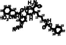 [N-]=[N+]=N[C@H]1C[C@@H](C(=O)NC(CCCCNC(=O)OCc2ccccc2)C(O)C(N)=O)N(C(=O)[C@@H](CC2CCCCC2)NC(=O)O)C1